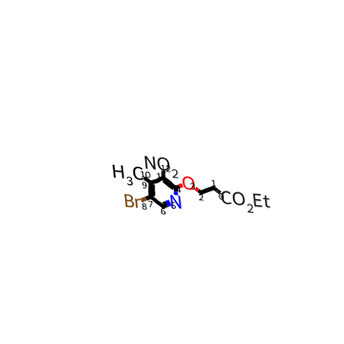 CCOC(=O)CCOc1ncc(Br)c(C)c1[N+](=O)[O-]